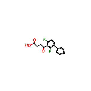 O=C(O)CCC(=O)c1c(F)ccc(-c2ccccc2)c1F